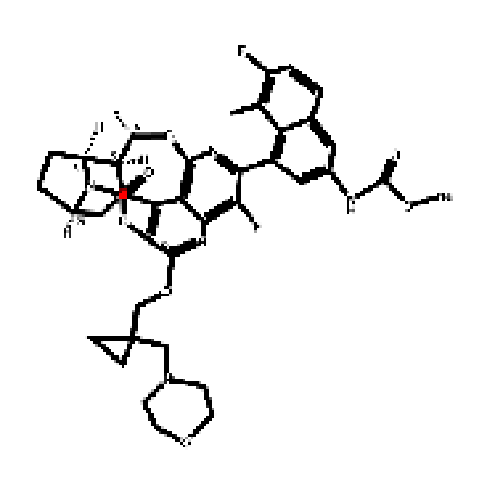 C[C@@H]1Oc2nc(-c3cc(NC(=O)OC(C)(C)C)cc4ccc(F)c(F)c34)c(F)c3nc(OCC4(CN5CCOCC5)CC4)nc(c23)N2C[C@H]3CC[C@@H]([C@@H]12)N3C(=O)OC(C)(C)C